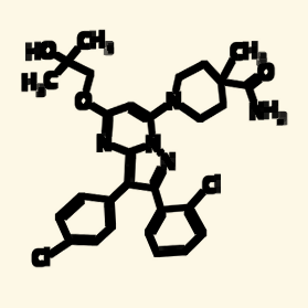 CC(C)(O)COc1cc(N2CCC(C)(C(N)=O)CC2)n2nc(-c3ccccc3Cl)c(-c3ccc(Cl)cc3)c2n1